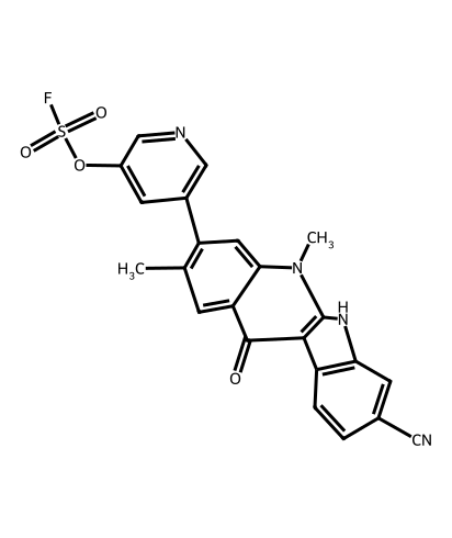 Cc1cc2c(=O)c3c4ccc(C#N)cc4[nH]c3n(C)c2cc1-c1cncc(OS(=O)(=O)F)c1